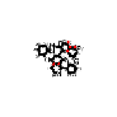 CCCc1ccc2c(c1)N(c1ccc3c(c1-c1nc(CCC)ccc1CCC)Nc1ccccc1O3)c1c(cccc1-c1ccccn1)O2